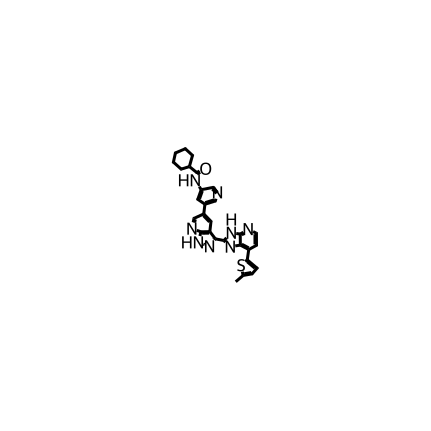 Cc1ccc(-c2ccnc3[nH]c(-c4n[nH]c5ncc(-c6cncc(NC(=O)C7CCCCC7)c6)cc45)nc23)s1